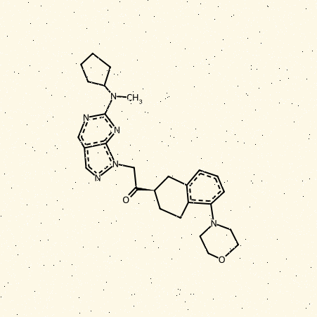 CN(c1ncc2cnn(CC(=O)[C@@H]3CCc4c(cccc4N4CCOCC4)C3)c2n1)C1CCCC1